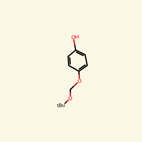 CC(C)(C)OCOc1ccc(O)cc1